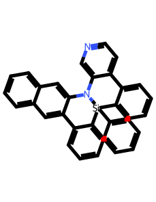 c1ccc([Si]23c4ccccc4-c4ccncc4N2c2cc4ccccc4cc2-c2ccccc23)cc1